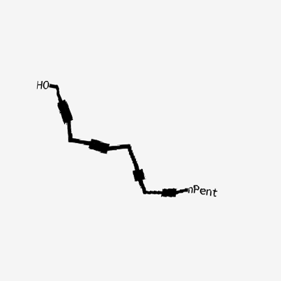 CCCCCC#CCC#CCC#CCC#CCO